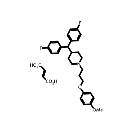 COc1ccc(OCCCN2CCC(C(c3ccc(F)cc3)c3ccc(F)cc3)CC2)cc1.O=C(O)/C=C/C(=O)O